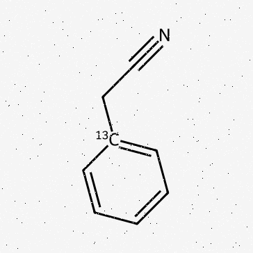 N#CC[13c]1ccccc1